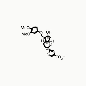 COc1ccc(OC[C@@H]2[C@H]3CC[C@H](c4nc(C(=O)O)cs4)O[C@H]3C[C@H]2O)cc1OC